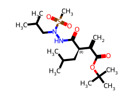 C=C(C(=O)OC(C)(C)C)[C@@H](CC(C)C)C(=O)NN(CC(C)C)S(C)(=O)=O